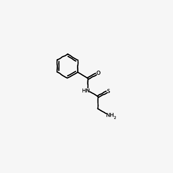 NCC(=S)NC(=O)c1ccccc1